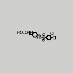 O=C(O)NCC1CCC(CNS(=O)(=O)c2ccc(Cl)c(Cl)c2)CC1